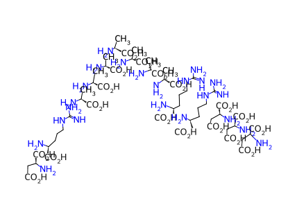 C[C@H](N)C(=O)O.C[C@H](N)C(=O)O.C[C@H](N)C(=O)O.C[C@H](N)C(=O)O.C[C@H](N)C(=O)O.C[C@H](N)C(=O)O.C[C@H](N)C(=O)O.N=C(N)NCCC[C@H](N)C(=O)O.N=C(N)NCCC[C@H](N)C(=O)O.N=C(N)NCCC[C@H](N)C(=O)O.N[C@@H](CC(=O)O)C(=O)O.N[C@@H](CC(=O)O)C(=O)O.N[C@@H](CC(=O)O)C(=O)O.N[C@@H](CC(=O)O)C(=O)O